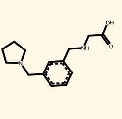 O=C(O)CNCc1cccc(CN2CCCC2)c1